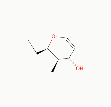 CC[C@H]1OC=C[C@H](O)[C@H]1C